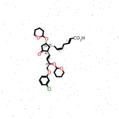 O=C(O)/C=C/C/C=C\C[C@H]1[C@@H](OC2CCCCO2)CC(=O)[C@@H]1/C=C/[C@H](COc1cccc(Cl)c1)OC1CCCCO1